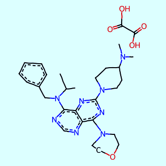 CC(C)N(Cc1ccccc1)c1ncnc2c(N3CCOCC3)nc(N3CCC(N(C)C)CC3)nc12.O=C(O)C(=O)O